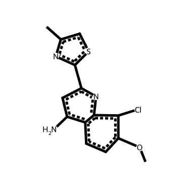 COc1ccc2c(N)cc(-c3nc(C)cs3)nc2c1Cl